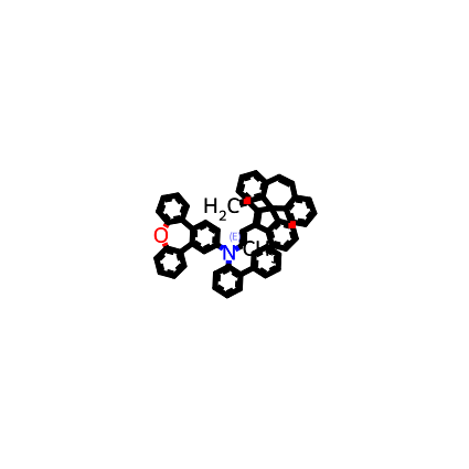 C=CC1=C(/C=C(\C)N(c2ccc3c(c2)-c2ccccc2Oc2ccccc2-3)c2ccccc2-c2ccccc2)c2ccccc2C12c1ccccc1C=Cc1ccccc12